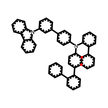 c1ccc(-c2ccccc2-c2ccc(N(c3ccc(-c4cccc(-n5c6ccccc6c6ccccc65)c4)cc3)c3ccccc3-c3ccccc3)cc2)cc1